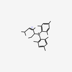 CCC(B(c1c(C)cc(C)cc1C)c1c(C)cc(C)cc1C)/C(C)=C\C(C)C